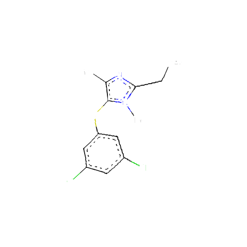 CCn1c(COC(C)=O)nc(C(C)C)c1Sc1cc(Cl)cc(Cl)c1